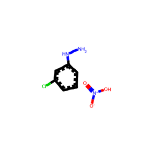 NNc1cccc(Cl)c1.O=[N+]([O-])O